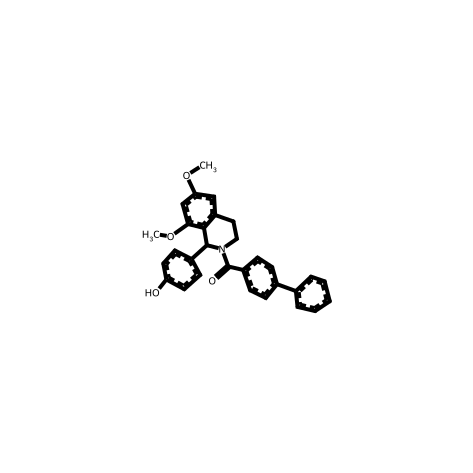 COc1cc2c(c(OC)c1)C(c1ccc(O)cc1)N(C(=O)c1ccc(-c3ccccc3)cc1)CC2